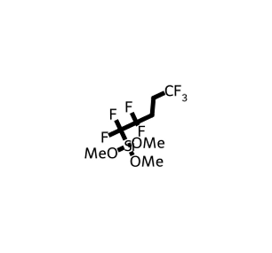 CO[Si](OC)(OC)C(F)(F)C(F)(F)CCC(F)(F)F